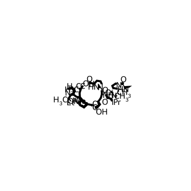 CCn1c(-c2cccnc2[C@H](C)OC)c2c3cc(ccc31)-c1cc(O)cc(c1)C[C@H](NC(=O)C(C(C)C)N(C)C(=O)[C@@H]1CCN(C(=O)[C@H]3CN3)[C@@H]1C)C(=O)N1CCC[C@H](N1)C(=O)OCC(C)(C)C2